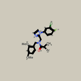 COc1ccc(CN(Cc2nccn2-c2ccc(F)c(Cl)c2)C(=O)C(C)C(C)=O)c(OC)c1